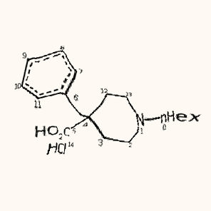 CCCCCCN1CCC(C(=O)O)(c2ccccc2)CC1.Cl